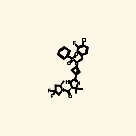 C[C@@H]1CC(F)(F)CN1C(=O)[C@@H]1NC(C23CC(N(Cc4ccc(Cl)c(F)c4)S(=O)(=O)c4ccccc4)(C2)C3)=NC1(C)C